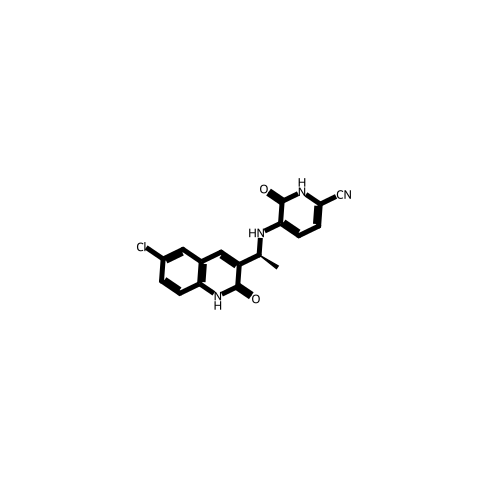 C[C@H](Nc1ccc(C#N)[nH]c1=O)c1cc2cc(Cl)ccc2[nH]c1=O